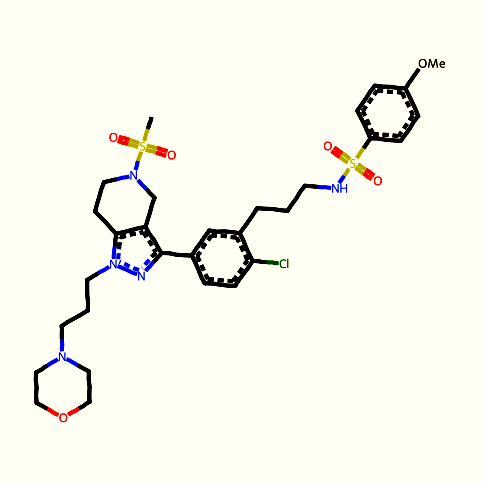 COc1ccc(S(=O)(=O)NCCCc2cc(-c3nn(CCCN4CCOCC4)c4c3CN(S(C)(=O)=O)CC4)ccc2Cl)cc1